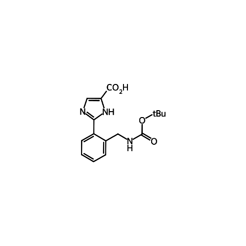 CC(C)(C)OC(=O)NCc1ccccc1-c1ncc(C(=O)O)[nH]1